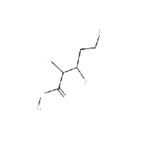 CCOC(=O)C(Br)C(Br)CCBr